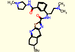 CN(C)CC[C@@H](NC(=O)c1nc2cc3c(nc2s1)CC[C@H](C(C)(C)C)C3)c1cccc(C(=O)N[C@H]2CCN(C)C2)c1